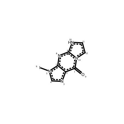 O=c1c2ncn(I)c2nc2[nH]ccn12